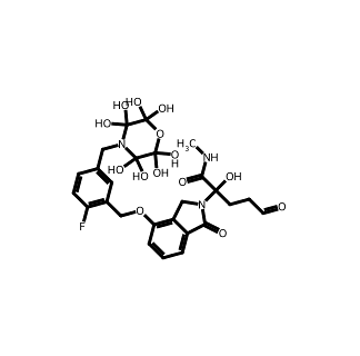 CNC(=O)C(O)(CCC=O)N1Cc2c(OCc3cc(CN4C(O)(O)C(O)(O)OC(O)(O)C4(O)O)ccc3F)cccc2C1=O